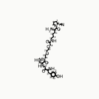 N#C[C@@H]1CCCN1C(=O)[C@@H](N)CCCCNC(=O)COCCOCCNC(=O)[C@H](CO)NCC(=O)[C@@H](N)Cc1ccc(O)cc1